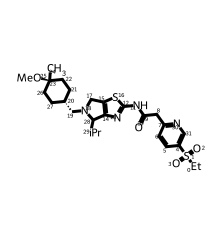 CCS(=O)(=O)c1ccc(CC(=O)Nc2nc3c(s2)CN(C[C@H]2CC[C@](C)(OC)CC2)C3C(C)C)nc1